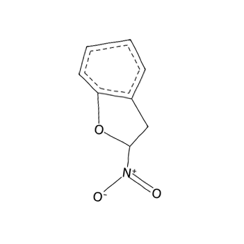 O=[N+]([O-])C1Cc2ccccc2O1